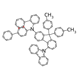 Cc1ccc(C2(c3ccc(C)cc3)c3cc(N(c4ccc(-c5ccccc5)cc4)c4ccccc4-c4ccccc4)ccc3-c3c(-n4c5ccccc5c5ccccc54)cccc32)cc1